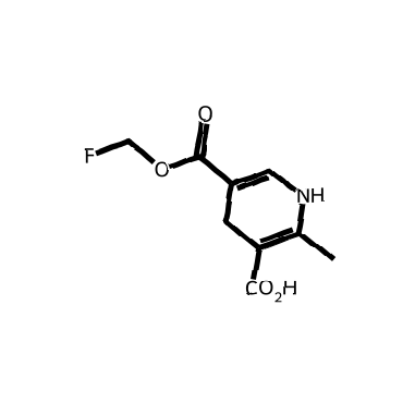 CC1=C(C(=O)O)CC(C(=O)OCF)=CN1